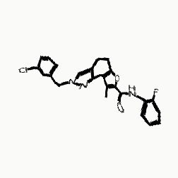 Cc1c(C(=O)Nc2ccccc2F)oc2c1-c1nn(Cc3cccc(Cl)c3)cc1CC2